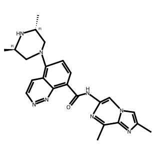 Cc1cn2cc(NC(=O)c3ccc(N4C[C@@H](C)N[C@H](C)C4)c4ccnnc34)nc(C)c2n1